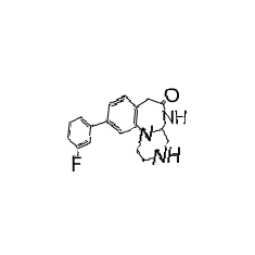 O=C1Cc2ccc(-c3cccc(F)c3)cc2N2CCNCC2N1